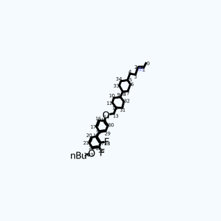 C/C=C/CCC1CCC(C2CCC(COc3ccc(-c4ccc(OCCCC)c(F)c4F)cc3)CC2)CC1